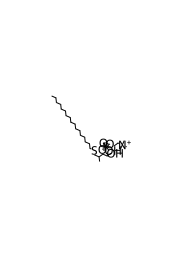 CCCCCCCCCCCCCCCCCSCC(C)C(CO)OP(=O)(O)OCC[N+](C)(C)C